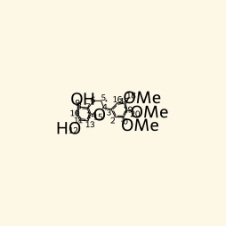 COc1cc(C2[CH]Cc3c(O)cc(O)cc3O2)cc(OC)c1OC